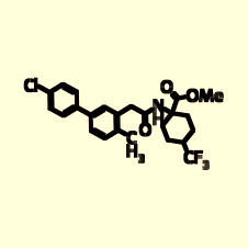 COC(=O)C1(NC(=O)Cc2cc(-c3ccc(Cl)cc3)ccc2C)CCC(C(F)(F)F)CC1